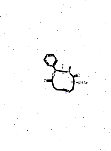 CC(=O)N[C@@H]1C/C=C/CCC(=O)OC(c2ccccc2)[C@H](C)N(C)C1=O